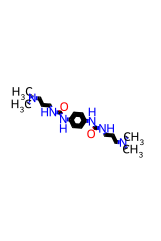 CN(C)CCCNC(=O)Nc1ccc(NC(=O)NCCCN(C)C)cc1